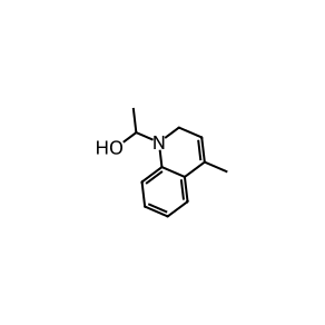 CC1=CCN(C(C)O)c2ccccc21